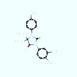 CC1(C)C(=O)N(c2ccc([N+](=O)[O-])c(C(F)(F)F)c2)C(=S)N1c1ccc(O)cc1